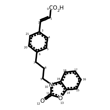 O=C(O)C=Cc1ccc(CCCn2c(=O)oc3ccccc32)cc1